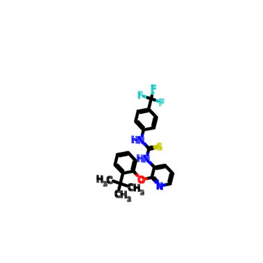 CC(C)(C)c1ccccc1Oc1ncccc1NC(=S)Nc1ccc(C(F)(F)F)cc1